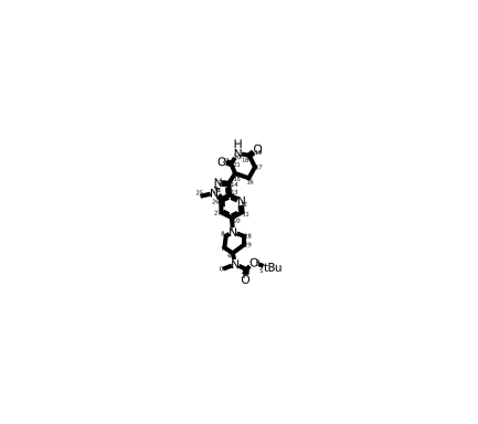 CN(C(=O)OC(C)(C)C)C1CCN(c2cnc3c(C4CCC(=O)NC4=O)nn(C)c3c2)CC1